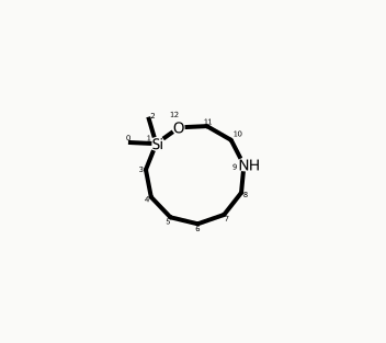 C[Si]1(C)CCCCCCNCCO1